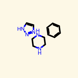 C1CNCCN1.c1c[nH]nn1.c1ccccc1